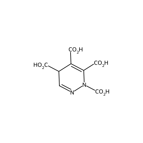 O=C(O)C1=C(C(=O)O)N(C(=O)O)N=CC1C(=O)O